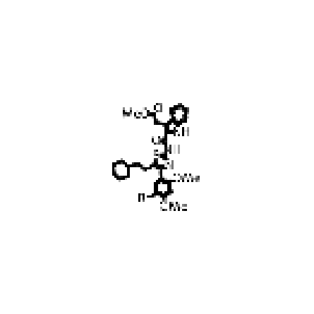 COC(=O)Cc1c(C(=O)Nc2nc(-c3cc(Br)c(OC)cc3OC)c(CCC3CCCCC3)s2)[nH]c2ccccc12